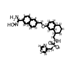 NC(=NO)c1ccc2cc(COc3ccc4c(c3)C(CNS(=O)(=O)Cc3cscn3)CCC4)ccc2c1